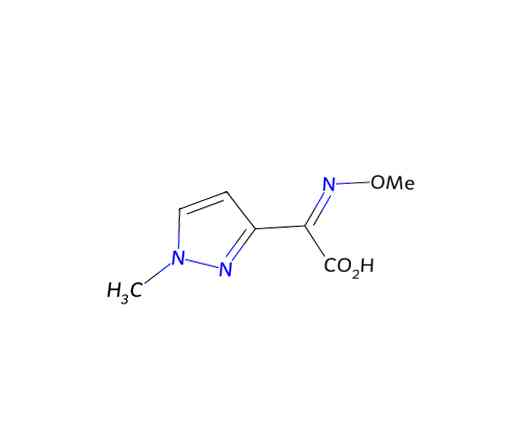 CON=C(C(=O)O)c1ccn(C)n1